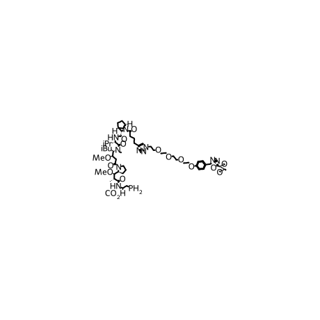 CC[C@H](C)[C@@H]([C@@H](CC(=O)N1CCC[C@H]1[C@H](OC)[C@@H](C)C(=O)N[C@@H](CP)C(=O)O)OC)N(C)C(=O)[C@@H](NC(=O)[C@@H]1[C@H]2CC[C@H](C2)N1C(=O)CCCc1cn(CCOCCOCCOCCOc2ccc(-c3nnc(S(C)(=O)=O)o3)cc2)nn1)C(C)C